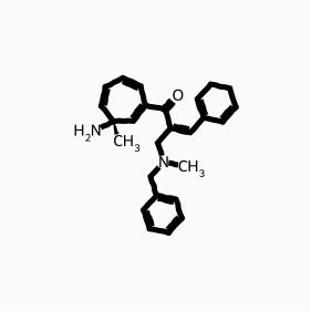 CN(CC(=CC1=CCCC=C1)C(=O)C1=C[C@](C)(N)C=CC=C1)Cc1ccccc1